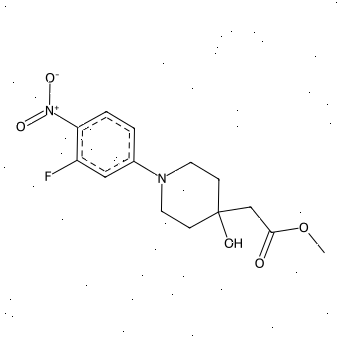 COC(=O)CC1(O)CCN(c2ccc([N+](=O)[O-])c(F)c2)CC1